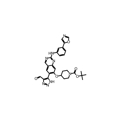 CC(C)(C)OC(=O)N1CCC(Oc2cc3nc(Nc4cccc(-c5cnco5)c4)ncc3cc2-c2[nH]nnc2C=O)CC1